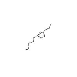 C/C=C/C=C/c1ccc(/C=C/C)s1